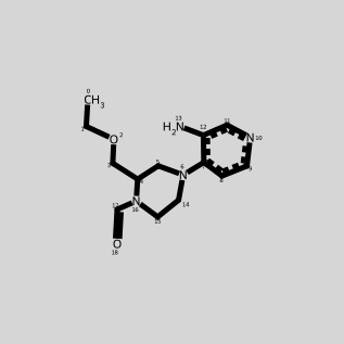 CCOCC1CN(c2ccncc2N)CCN1C=O